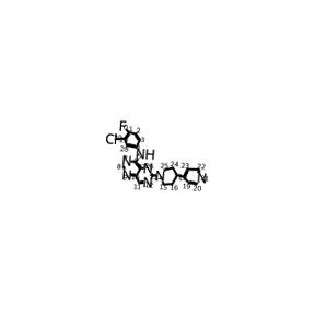 Fc1ccc(Nc2ncnc3cnc(N4CCC(c5ccncc5)CC4)nc23)cc1Cl